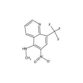 CNc1c([N+](=O)[O-])cc(C(F)(F)F)c2ncccc12